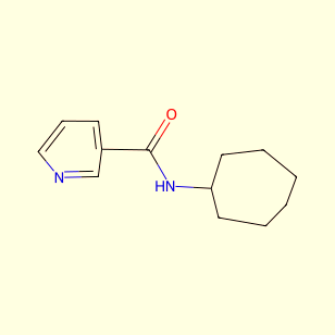 O=C(NC1CCCCCC1)c1cccnc1